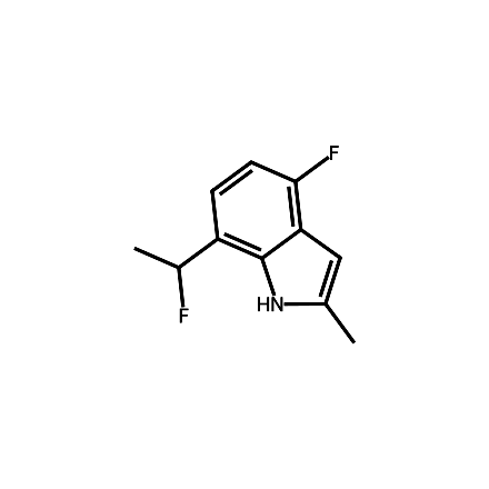 Cc1cc2c(F)ccc(C(C)F)c2[nH]1